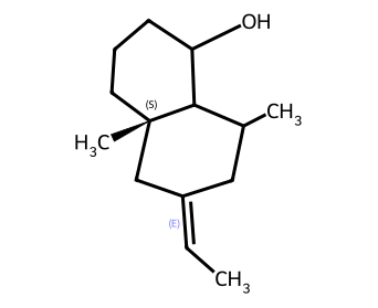 C/C=C1\CC(C)C2C(O)CCC[C@@]2(C)C1